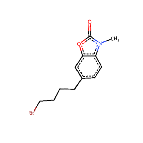 Cn1c(=O)oc2cc(CCCCBr)ccc21